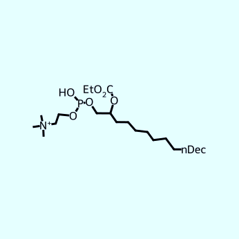 CCCCCCCCCCCCCCCCCC(COP(O)OCC[N+](C)(C)C)OC(=O)OCC